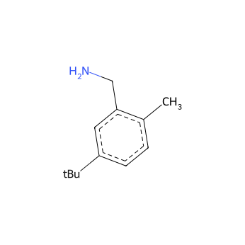 Cc1ccc(C(C)(C)C)cc1CN